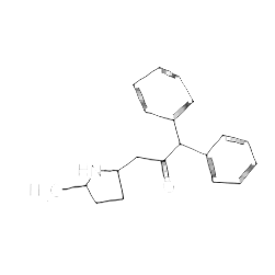 CC1CCC(CC(=O)C(c2ccccc2)c2ccccc2)N1